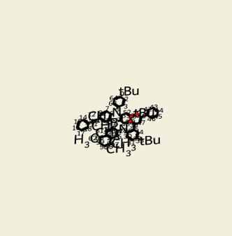 CC(C)(C)c1ccc(N2c3ccc(C(C)(C)c4ccccc4)cc3B3c4cc5c(cc4N(c4ccc(C(C)(C)C)cc4-c4cccc(-c6ccccc6)c4)c4cc(C(C)(C)C)cc2c43)C(C)(C)CCC5(C)C)cc1